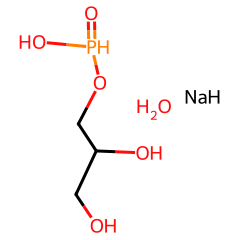 O.O=[PH](O)OCC(O)CO.[NaH]